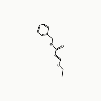 CCO/C=C/C(=O)NCc1ccccc1